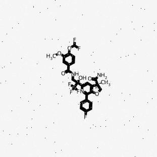 COc1cc(C(=O)NCC(O)(c2cc3c(c(-c4ccc(F)cc4)n2)OC[C@]3(C)C(N)=O)C(F)(F)F)ccc1OC(F)F